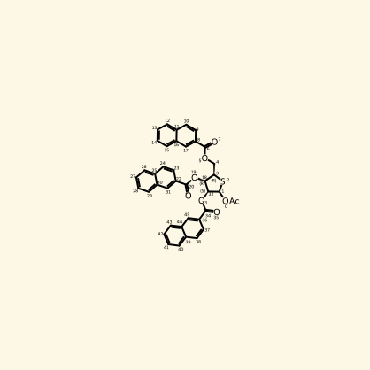 CC(=O)OC1S[C@H](COC(=O)c2ccc3ccccc3c2)[C@H](OC(=O)c2ccc3ccccc3c2)[C@@H]1OC(=O)c1ccc2ccccc2c1